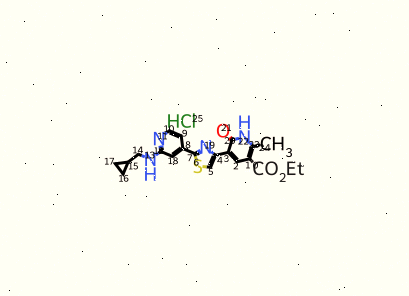 CCOC(=O)c1cc(-c2csc(-c3ccnc(NCC4CC4)c3)n2)c(=O)[nH]c1C.Cl